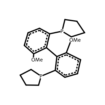 COc1cccc(P2CCCC2)c1-c1c(OC)cccc1P1CCCC1